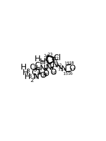 CC(C)(C)[C@H](NC(=O)n1c(=O)n(CCN2CCOCC2)c2c(Cl)cccc21)C(N)=O